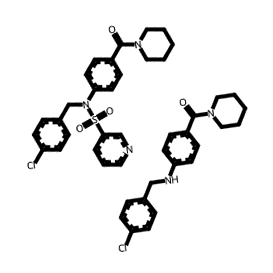 O=C(c1ccc(N(Cc2ccc(Cl)cc2)S(=O)(=O)c2cccnc2)cc1)N1CCCCC1.O=C(c1ccc(NCc2ccc(Cl)cc2)cc1)N1CCCCC1